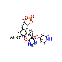 COc1cc(CC2COS(=O)OC2)ccc1Oc1ncnc(OC2CCNCC2)c1C